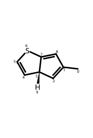 CC1=C[C@@H]2C=[C]SC2=C1